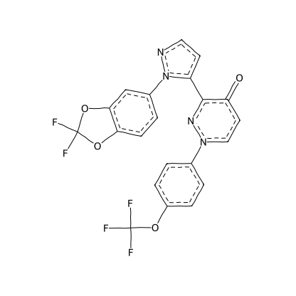 O=c1ccn(-c2ccc(OC(F)(F)F)cc2)nc1-c1ccnn1-c1ccc2c(c1)OC(F)(F)O2